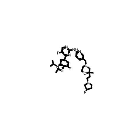 Cc1nc2c(F)cc(-c3nc(Nc4ccc(CN5CCOC(C)(CCN6CCC(F)C6)C5)cn4)ncc3F)cc2n1C(C)C